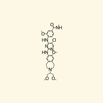 CNC(=O)c1ccc(Nc2nc(Nc3cc4c(cc3OC)CCN(C(COC)COC)CC4)ncc2Cl)c(OC)c1